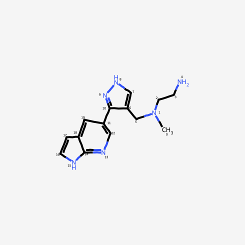 CN(CCN)Cc1c[nH]nc1-c1cnc2[nH]ccc2c1